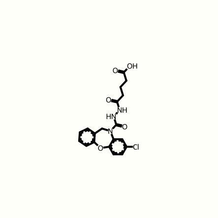 O=C(O)CCCC(=O)NNC(=O)N1Cc2ccccc2Oc2ccc(Cl)cc21